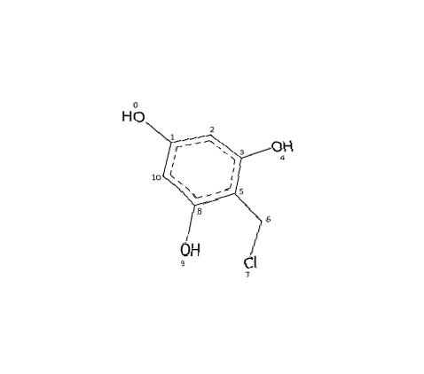 Oc1cc(O)c(CCl)c(O)c1